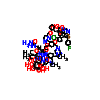 COc1ccccc1-c1nccc(COc2ccccc2C[C@@H](Oc2ncnc3sc(-c4ccc(F)cc4)c(-c4ccc(OCCN5CC[N+](C)(Cc6ccc(NC(=O)[C@H](CCCNC(N)=O)NC(=O)[C@@H](N)C(C)C)cc6CN(C)C(=O)C[C@H](NC(=O)[C@@H]6O[C@H](O)[C@@H](O)[C@H](O)[C@H]6O)C(=O)O)CC5)c(Cl)c4C)c23)C(=O)O)n1